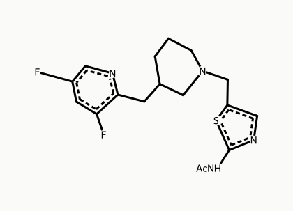 CC(=O)Nc1ncc(CN2CCCC(Cc3ncc(F)cc3F)C2)s1